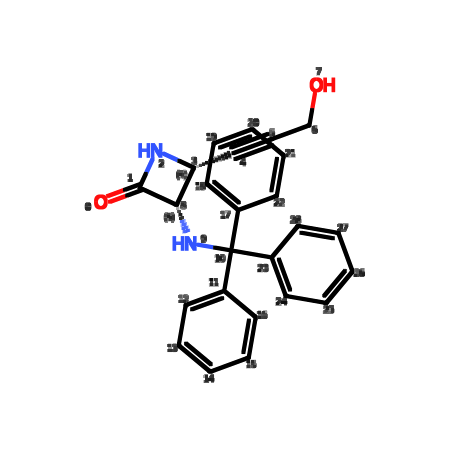 O=C1N[C@H](C#CCO)[C@@H]1NC(c1ccccc1)(c1ccccc1)c1ccccc1